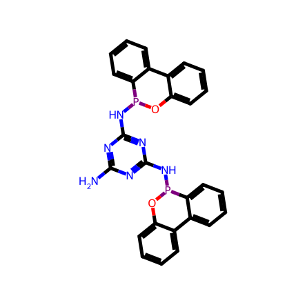 Nc1nc(NP2Oc3ccccc3-c3ccccc32)nc(NP2Oc3ccccc3-c3ccccc32)n1